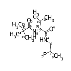 CC(F)CNC(=O)[C@H](NC(=O)C(C)(C)C)C(C)C